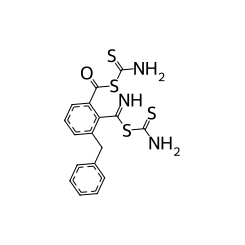 N=C(SC(N)=S)c1c(Cc2ccccc2)cccc1C(=O)SC(N)=S